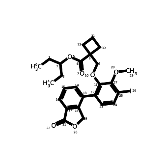 CCC(CC)OC(=O)C1(COc2c(-c3cccc4c3COC4=O)ccc(I)c2OC)CCC1